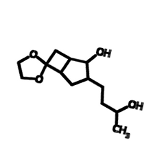 CC(O)CCC1CC2C(CC23OCCO3)C1O